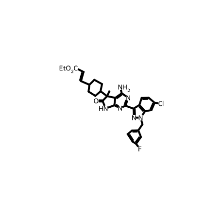 CCOC(=O)C=CC1CCC(C2(C)C(=O)Nc3nc(-c4nn(Cc5cccc(F)c5)c5cc(Cl)ccc45)nc(N)c32)CC1